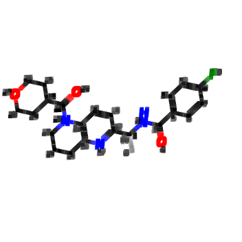 C[C@@H](NC(=O)c1ccc(F)cc1)c1ccc2c(n1)CCCN2C(=O)C1CCOCC1